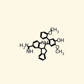 COc1cc(C2Nc3ccc(C(=N)N)cc3C3c4ccccc4CC23)c(-c2ccccc2OC)cc1O